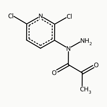 CC(=O)C(=O)N(N)c1ccc(Cl)nc1Cl